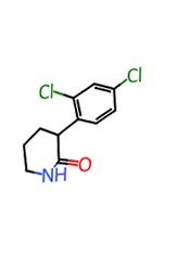 O=C1NCCCC1c1ccc(Cl)cc1Cl